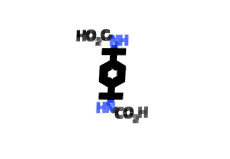 CC(C)(NC(=O)O)c1ccc(C(C)(C)NC(=O)O)cc1